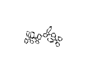 c1ccc(C(c2ccccc2)(c2ccccc2)c2cccc(-n3c4ccccc4c4cc(-c5ccc6c(c5)c5ccccc5n6-c5cccc([Si](c6ccccc6)(c6ccccc6)c6ccccc6)c5)ccc43)c2)cc1